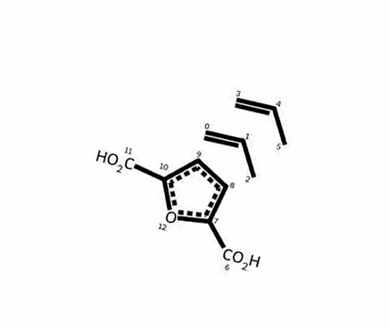 C=CC.C=CC.O=C(O)c1ccc(C(=O)O)o1